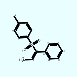 Cc1ccc(S(=O)(=O)C(=CN)c2ccccc2)cc1